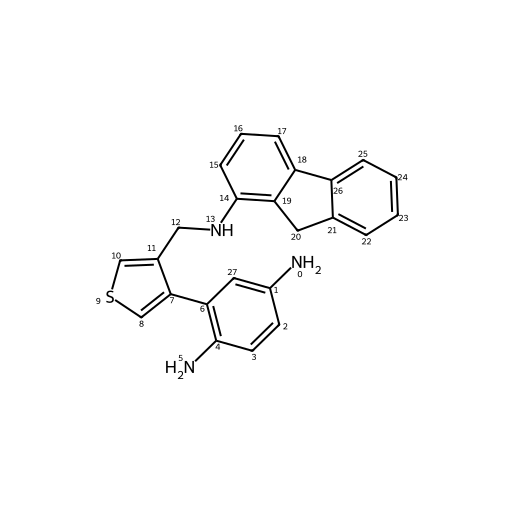 Nc1ccc(N)c(-c2cscc2CNc2cccc3c2Cc2ccccc2-3)c1